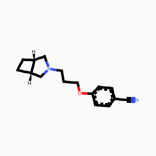 N#Cc1ccc(OCCCN2C[C@H]3CC[C@H]3C2)cc1